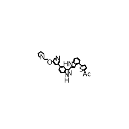 CC(=O)c1ccc(-c2cccc3[nH]c(-c4n[nH]c5ccc(-c6cncc(OCCN7CCCC7)c6)cc45)cc23)s1